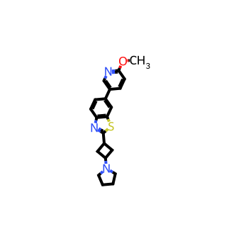 COc1ccc(-c2ccc3nc(C4CC(N5CCCC5)C4)sc3c2)cn1